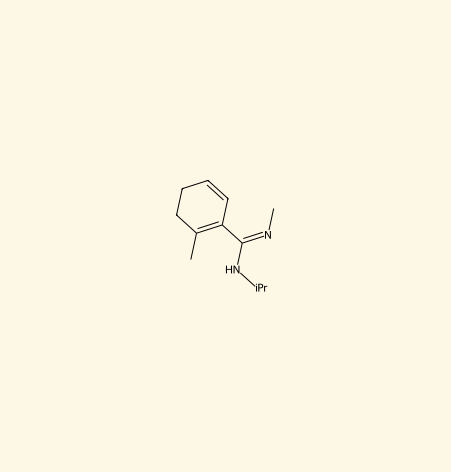 C/N=C(/NC(C)C)C1=C(C)CCC=C1